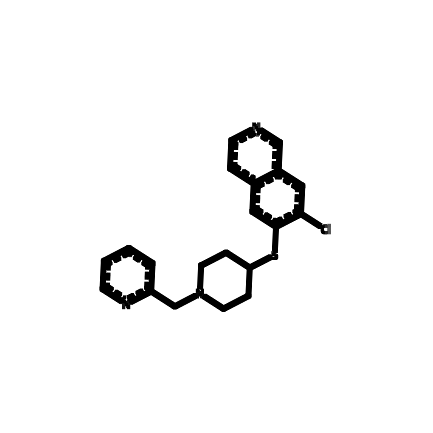 Clc1cc2cnccc2cc1SC1CCN(Cc2ccccn2)CC1